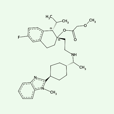 COCC(=O)O[C@]1(CCNC(C)[C@H]2CC[C@H](c3nc4ccccc4n3C)CC2)CCc2cc(F)ccc2[C@@H]1C(C)C